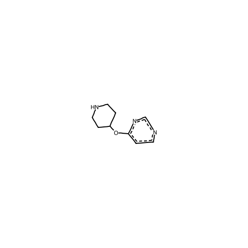 c1cc(OC2CCNCC2)ncn1